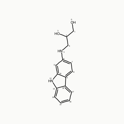 OCC(O)CNc1ccc2c(c1)[nH]c1ccccc12